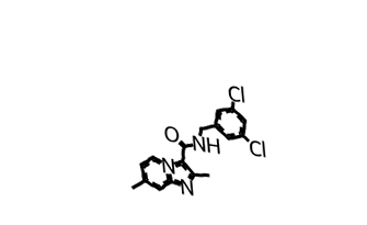 Cc1ccn2c(C(=O)NCc3cc(Cl)cc(Cl)c3)c(C)nc2c1